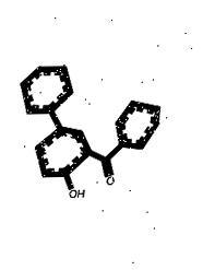 O=C(c1ccccc1)c1cc(-c2ccccc2)ccc1O